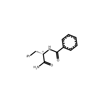 CC(C)C[C@H](NC(=O)c1ccccc1)C(N)=O